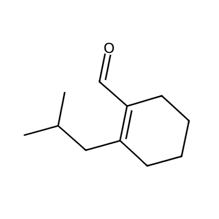 CC(C)CC1=C(C=O)CCCC1